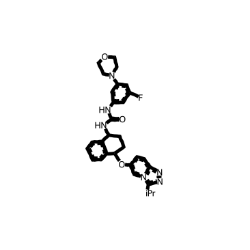 CC(C)c1nnc2ccc(OC3CCC(NC(=O)Nc4cc(F)cc(N5CCOCC5)c4)c4ccccc43)cn12